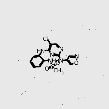 CS(=O)(=O)Nc1ccccc1Nc1nc(Nc2cnoc2)ncc1Cl